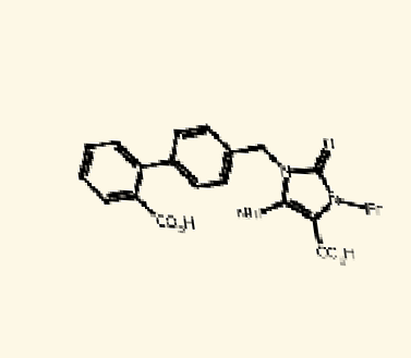 CCCCc1c(C(=O)O)n(C(C)C)c(=O)n1Cc1ccc(-c2ccccc2C(=O)O)cc1